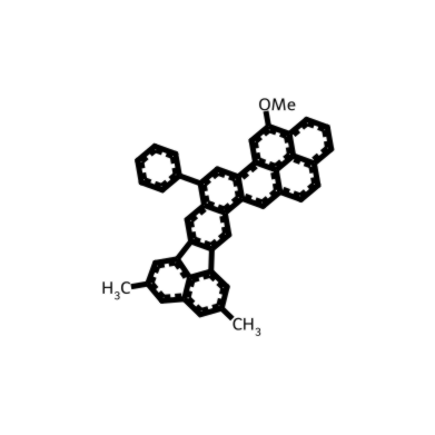 COc1cc2c3cc(-c4ccccc4)c4cc5c(cc4c3cc3ccc4cccc1c4c32)-c1cc(C)cc2cc(C)cc-5c12